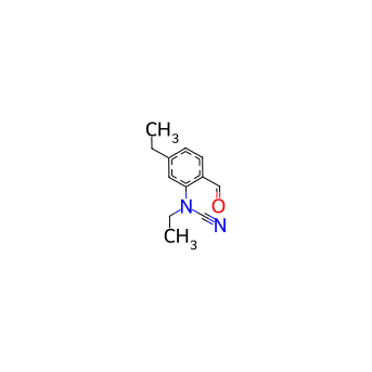 CCc1ccc(C=O)c(N(C#N)CC)c1